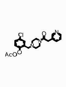 CC(=O)OOc1ccc(Cl)cc1CN1CCN(C(=O)Cc2cccnc2)CC1